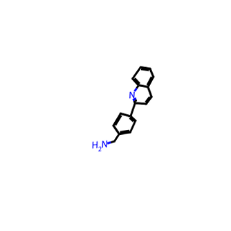 NCc1ccc(-c2ccc3ccccc3n2)cc1